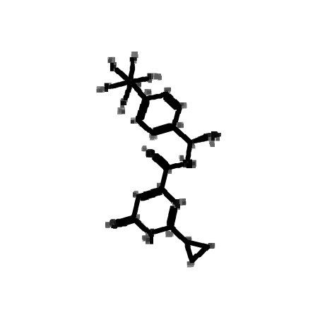 CCC[C@@H](NC(=O)c1cc(=O)[nH]c(C2CC2)n1)c1ccc(S(F)(F)(F)(F)F)cc1